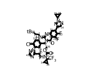 CC(C)(C)CCNC(=N)N(C(=O)c1ccc(-c2cnn(C3CC3)n2)c(F)c1F)[C@H](COC(=O)NC1(C(F)(F)F)CC1)c1ccc(Cl)c(-n2ncnc2C(F)F)c1